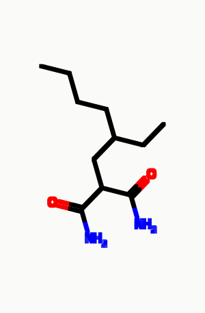 CCCCC(CC)CC(C(N)=O)C(N)=O